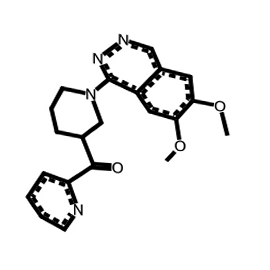 COc1cc2cnnc(N3CCCC(C(=O)c4ccccn4)C3)c2cc1OC